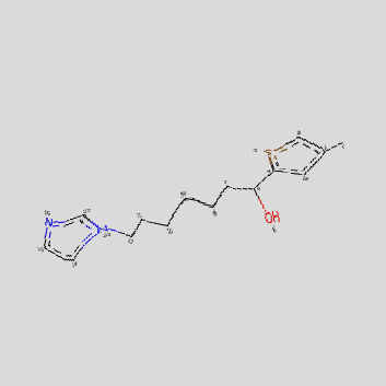 Cc1csc(C(O)CCCCCCn2ccnc2)c1